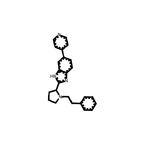 c1ccc(CCN2CCCC2c2nc3ccc(-c4ccncc4)cc3[nH]2)cc1